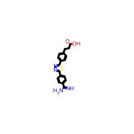 N=C(N)c1ccc(-c2nnc(-c3ccc(CCC(=O)O)cc3)s2)cc1